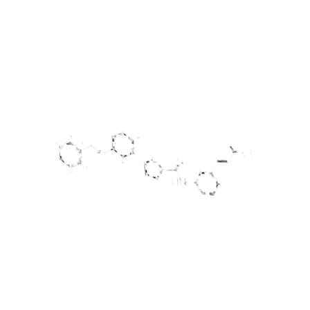 O=C(O)/C=C/c1cccc(NC(=O)c2ccc(-c3cccc(OCc4ccccc4)c3)o2)c1